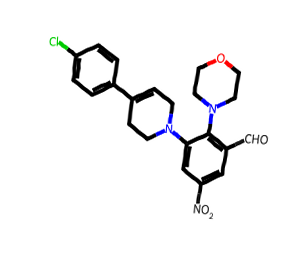 O=Cc1cc([N+](=O)[O-])cc(N2CC=C(c3ccc(Cl)cc3)CC2)c1N1CCOCC1